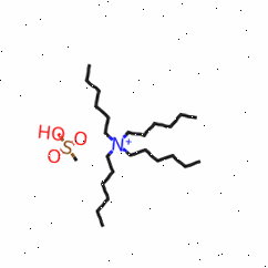 CCCCCC[N+](CCCCCC)(CCCCCC)CCCCCC.CS(=O)(=O)O